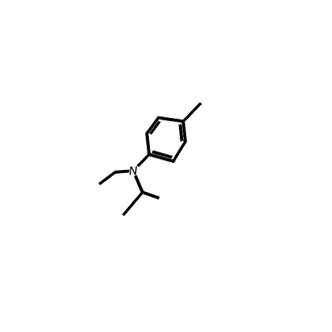 CCN(c1ccc(C)cc1)C(C)C